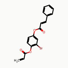 C=CC(=O)Oc1ccc(OC(=O)/C=C/c2ccccc2)cc1Br